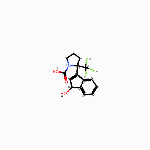 O=C(O)N1CCCC1(C1=CC(O)c2ccccc21)C(F)(F)F